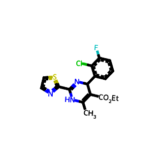 CCOC(=O)C1=C(C)NC(c2nccs2)=NC1c1cccc(F)c1Cl